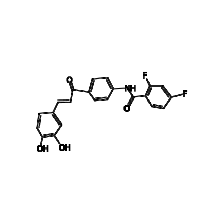 O=C(/C=C/c1ccc(O)c(O)c1)c1ccc(NC(=O)c2ccc(F)cc2F)cc1